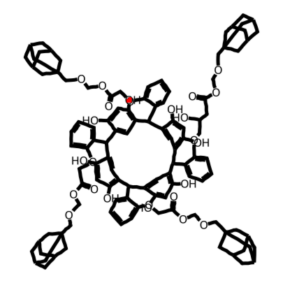 O=C(COc1ccccc1C1c2cc(c(O)cc2O)C(c2ccccc2OCC(=O)OCOCC23CC4CC(CC(C4)C2)C3)c2cc(c(O)cc2O)C(c2ccccc2OCC(O)CC(=O)OCOCC23CC4CC(CC(C4)C2)C3)c2cc(c(O)cc2O)C(c2ccccc2OCC(=O)OCOCC23CC4CC(CC(C4)C2)C3)c2cc1c(O)cc2O)OCOCC12CC3CC(CC(C3)C1)C2